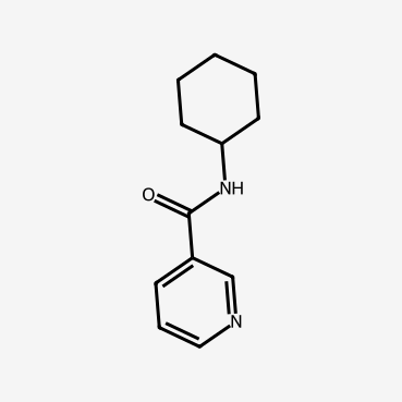 O=C(NC1CCCCC1)c1cccnc1